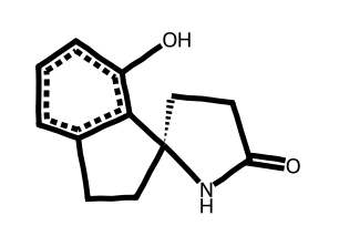 O=C1CC[C@@]2(CCc3cccc(O)c32)N1